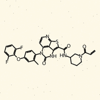 C=CC(=O)N1CCCC(NC(=O)c2sc3nccc4c3c2NC(=O)N4c2ccc(Oc3c(F)cccc3F)cc2C)C1